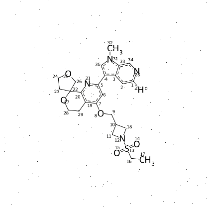 [2H]c1cc2c(-c3cc(OCC4CN(S(=O)(=O)CC)C4)c4c(n3)C3(CCOC3)OCC4)cn(C)c2cn1